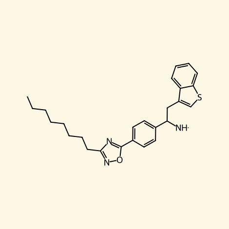 CCCCCCCCc1noc(-c2ccc(C([NH])Cc3csc4ccccc34)cc2)n1